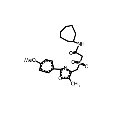 COc1ccc(-c2nc(CS(=O)(=O)CC(=O)NC3CCCCCC3)c(C)o2)cc1